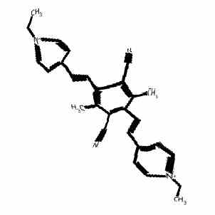 CC[n+]1ccc(/C=C/c2c(C)c(C#N)c(/C=C/c3cc[n+](CC)cc3)c(C)c2C#N)cc1